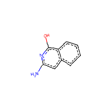 Nc1cc2ccccc2c(O)n1